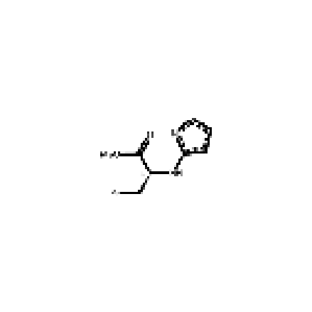 COC(=O)[C@H](CC(C)C)Nc1ccsn1